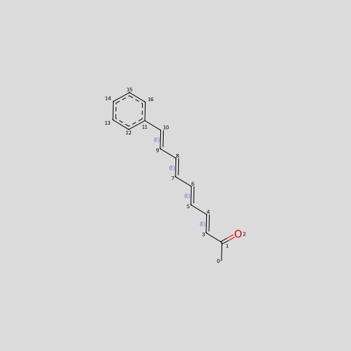 CC(=O)/C=C/C=C/C=C/C=C/c1ccccc1